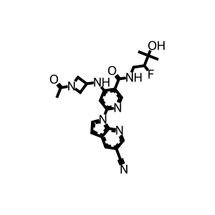 CC(=O)N1CC(Nc2cc(-n3ccc4cc(C#N)cnc43)ncc2C(=O)NCC(F)C(C)(C)O)C1